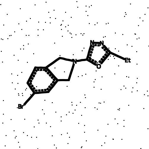 CCc1nnc(N2Cc3ccc(Br)cc3C2)o1